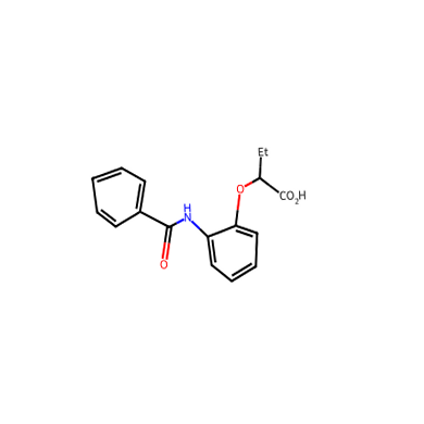 CCC(Oc1ccccc1NC(=O)c1ccccc1)C(=O)O